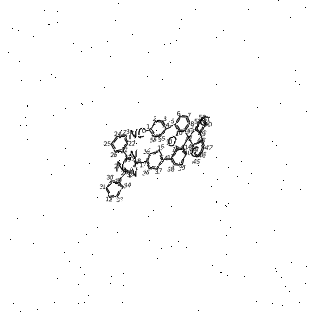 N#Cc1ccc(-c2cccc3c2Oc2c(-c4ccc(-c5nc(-c6ccccc6)nc(-c6ccccc6)n5)cc4)cccc2C32c3ccccc3-c3ccccc32)cc1